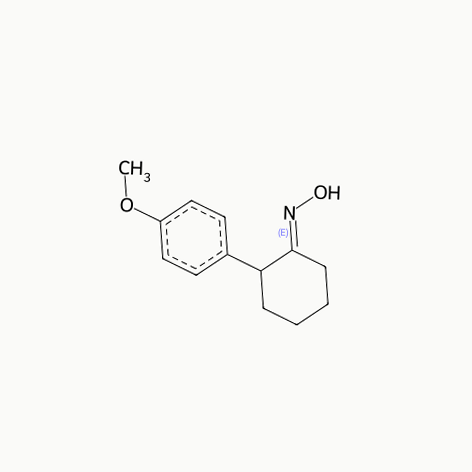 COc1ccc(C2CCCC/C2=N\O)cc1